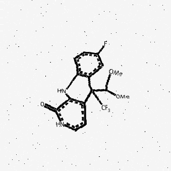 COC(OC)C1(C(F)(F)F)c2cc(F)ccc2Nc2c1cc[nH]c2=O